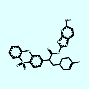 COc1ccc2nc(NC(=O)C(CC3CC=C(F)CC3)c3ccc4c(c3)Nc3ccccc3S4(=O)=O)sc2n1